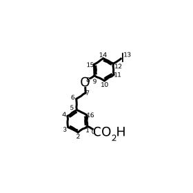 O=C(O)c1cccc(CCOc2ccc(I)cc2)c1